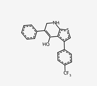 OC1=C(c2ccccc2)CNc2scc(-c3ccc(C(F)(F)F)cc3)c21